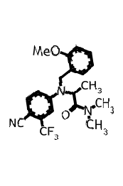 COc1ccccc1CN(c1ccc(C#N)c(C(F)(F)F)c1)C(C)C(=O)N(C)C